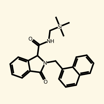 C[Si](C)(C)CNC(=O)C1c2ccccc2C(=O)N1Cc1cccc2ccccc12